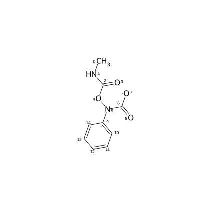 CNC(=O)ON(C([O])=O)c1ccccc1